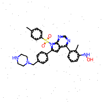 Cc1ccc(S(=O)(=O)n2c(-c3ccc(CN4CCNCC4)cc3)cc3c(-c4cccc(NO)c4C)ncnc32)cc1